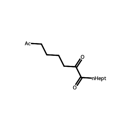 CCCCCCCC(=O)C(=O)CCCCC(C)=O